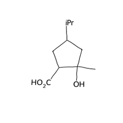 CC(C)C1CC(C(=O)O)C(C)(O)C1